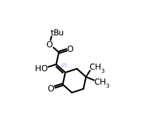 CC1(C)CCC(=O)/C(=C(\O)C(=O)OC(C)(C)C)C1